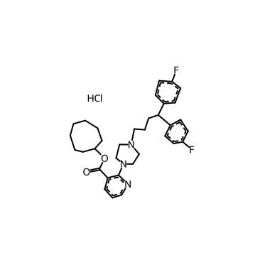 Cl.O=C(OC1CCCCCCC1)c1cccnc1N1CCN(CCCC(c2ccc(F)cc2)c2ccc(F)cc2)CC1